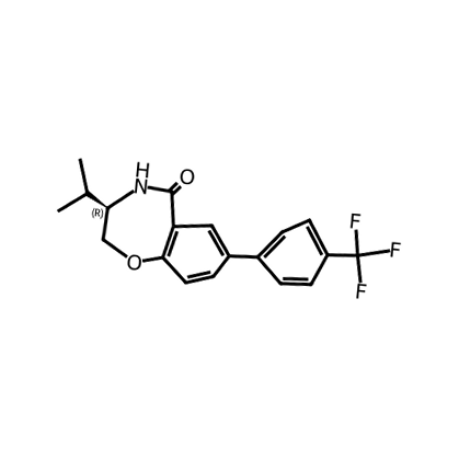 CC(C)[C@@H]1COc2ccc(-c3ccc(C(F)(F)F)cc3)cc2C(=O)N1